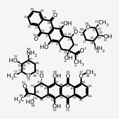 CC(=O)[C@]1(O)Cc2c(O)c3c(c(O)c2[C@@H](O[C@H]2C[C@H](N)[C@H](O)[C@H](C)O2)C1)C(=O)c1ccccc1C3=O.COc1cccc2c1C(=O)c1c(O)c3c(c(O)c1C2=O)C[C@@](O)(C(C)=O)C[C@@H]3O[C@H]1C[C@H](N)[C@H](O)[C@H](C)O1